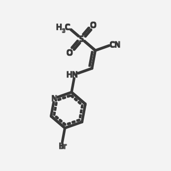 CS(=O)(=O)C(C#N)=CNc1ccc(Br)cn1